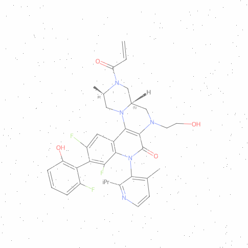 C=CC(=O)N1C[C@@H]2CN(CCO)c3c(c4cc(F)c(-c5c(O)cccc5F)c(F)c4n(-c4c(C)ccnc4C(C)C)c3=O)N2C[C@H]1C